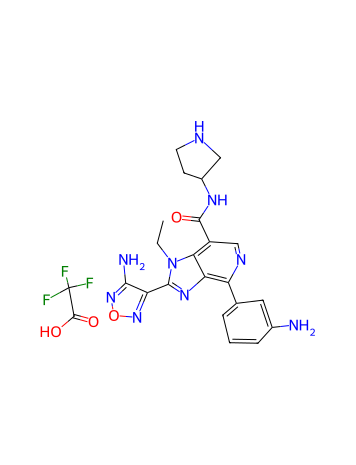 CCn1c(-c2nonc2N)nc2c(-c3cccc(N)c3)ncc(C(=O)NC3CCNC3)c21.O=C(O)C(F)(F)F